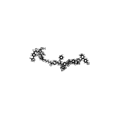 Cc1ncsc1-c1ccc([C@H](C)C(=O)N[C@@H]2C[C@@H](O)CN2C(=O)[C@@H](c2cc(OCCCCCC(=O)N3CCN(CC[C@H](CSc4ccccc4)Nc4ccc(S(=O)(=O)NC(=O)c5ccc6c(c5)OC[C@@H]5CN(CC7=C(c8ccc(Cl)cc8)CCC(C)(C)C7)CCN65)cc4S(=O)(=O)C(F)(F)F)CC3)no2)C(C)C)cc1